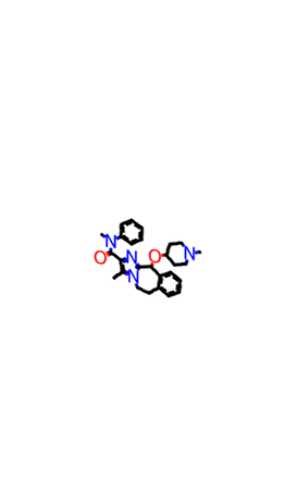 Cc1c(C(=O)N(C)c2ccccc2)nc2n1CCc1ccccc1C2OC1CCN(C)CC1